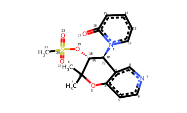 CC1(C)Oc2ccncc2[C@H](n2ccccc2=O)[C@H]1OS(C)(=O)=O